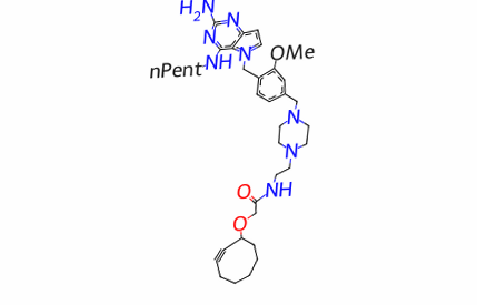 CCCCCNc1nc(N)nc2ccn(Cc3ccc(CN4CCN(CCNC(=O)COC5C#CCCCCC5)CC4)cc3OC)c12